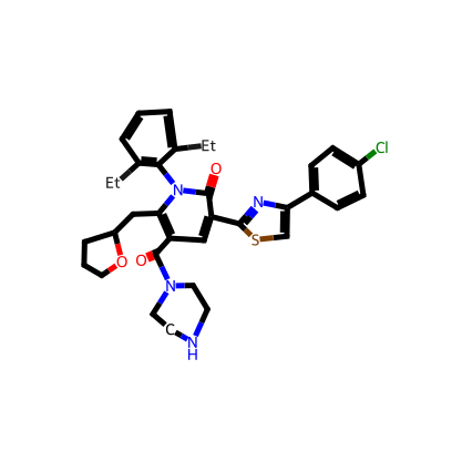 CCc1cccc(CC)c1-n1c(CC2CCCO2)c(C(=O)N2CCNCC2)cc(-c2nc(-c3ccc(Cl)cc3)cs2)c1=O